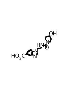 O=C(O)c1ccc2c(c1)ncn2CCNC(=O)N1CCC(O)CC1